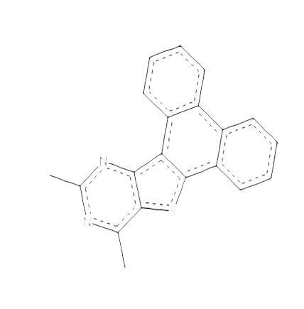 Cc1nc(C)c2sc3c4ccccc4c4ccccc4c3c2n1